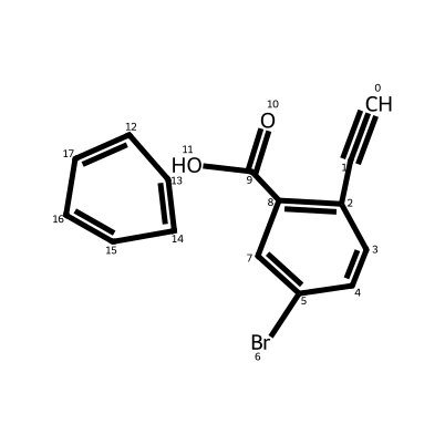 C#Cc1ccc(Br)cc1C(=O)O.c1ccccc1